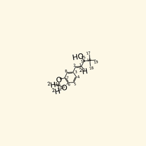 [2H]/C(=C\c1ccc2c(c1)OC([2H])([2H])O2)C(O)C(C)(C)C